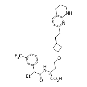 CCC(C(=O)N[C@@H](CCO[C@H]1C[C@H](CCc2ccc3c(n2)NCCC3)C1)C(=O)O)c1cccc(C(F)(F)F)c1